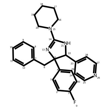 Fc1ccc(C2(Cc3ccccc3)N=C(N3CCCCC3)NC2c2ccncc2)cc1